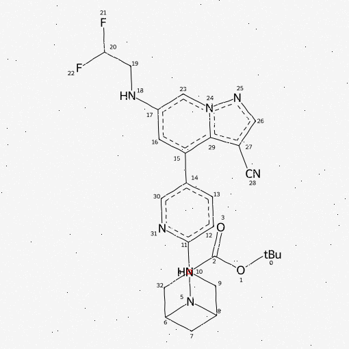 CC(C)(C)OC(=O)NN1C2CC1CN(c1ccc(-c3cc(NCC(F)F)cn4ncc(C#N)c34)cn1)C2